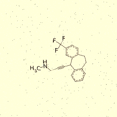 CNCC#CC1c2ccccc2CCc2ccc(C(F)(F)F)cc21